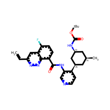 C=Cc1cc2c(F)ccc(C(=O)Nc3cnccc3[C@@H]3C[C@H](C)C[C@H](NC(=O)OC(C)(C)C)C3)c2nn1